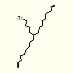 C=CCCCCCCCC(CCCCBr)CCCCCCCC=C